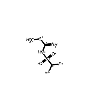 CSC(=N)NS(=O)(=O)C(F)F